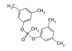 Cc1cc(C)cc(OP(C)(=O)Oc2cc(C)cc(C)c2)c1